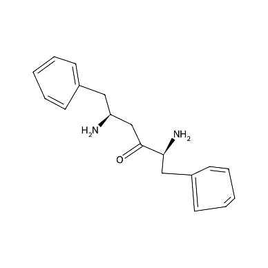 N[C@H](CC(=O)[C@@H](N)Cc1ccccc1)Cc1ccccc1